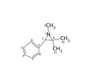 CN1C(c2ccccc2)C1(C)C